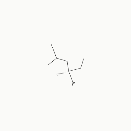 CC[C@@](C)(F)CC(C)C